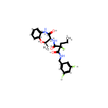 CCCC(F)(C(=O)NCc1cc(F)cc(F)c1)C(=O)N[C@@H]1C(=O)Nc2ccccc2O[C@@H]1C